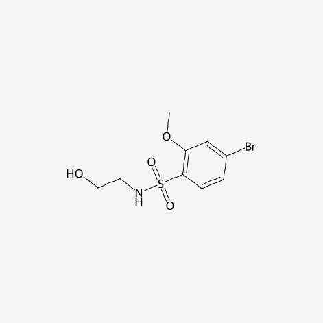 COc1cc(Br)ccc1S(=O)(=O)NCCO